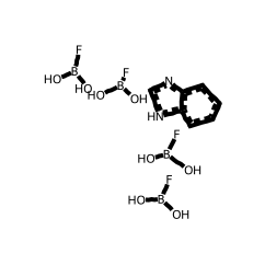 OB(O)F.OB(O)F.OB(O)F.OB(O)F.c1ccc2[nH]cnc2c1